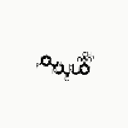 CS(=O)(=O)c1cccc(CNC(=O)c2cnc(-c3cccc(F)c3)nc2)c1